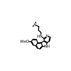 COc1ccc2c(ccc3[nH]c4ccnc(NCCCN(C)C)c4c32)c1